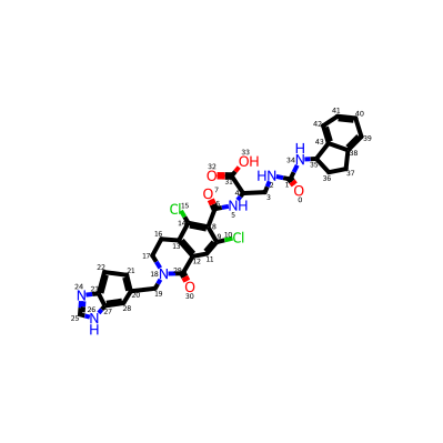 O=C(NCC(NC(=O)c1c(Cl)cc2c(c1Cl)CCN(Cc1ccc3nc[nH]c3c1)C2=O)C(=O)O)NC1CCc2ccccc21